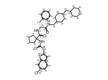 O=C(NC1(C(=O)N[C@H](Cc2ccccc2)C(=O)NCC2CCN(CC3CCOCC3)CC2)CCCC1)Oc1cc2ccc(Cl)cc2s1